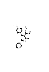 CCCC(C(=O)O)c1c(C)nc(-c2ccccc2)nc1-c1ccc(Cl)cc1F